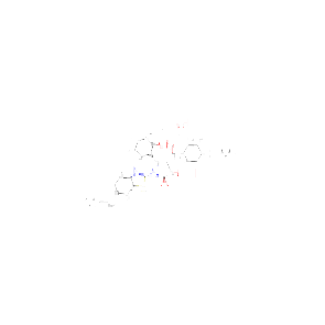 COc1ccc(C(=O)C2=C(O)C(=O)N(c3nc4ccc(OC)cc4s3)C2c2ccccc2OCCO)cc1